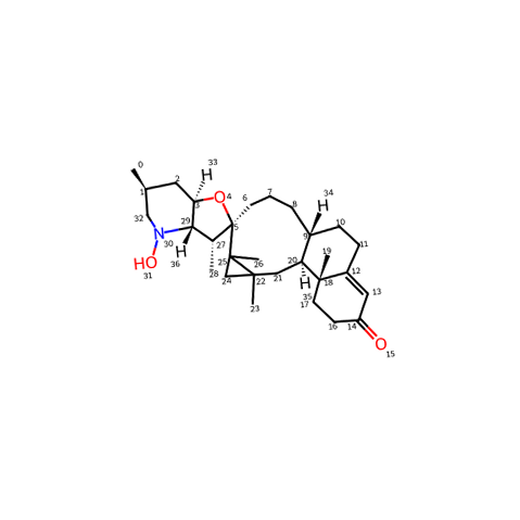 C[C@H]1C[C@H]2O[C@]3(CCC[C@@H]4CCC5=CC(=O)CC[C@]5(C)[C@H]4CC4(C)CC43C)[C@H](C)[C@@H]2N(O)C1